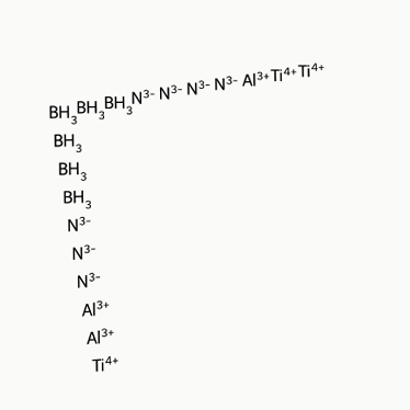 B.B.B.B.B.B.[Al+3].[Al+3].[Al+3].[N-3].[N-3].[N-3].[N-3].[N-3].[N-3].[N-3].[Ti+4].[Ti+4].[Ti+4]